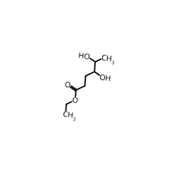 CCOC(=O)CCC(O)C(C)O